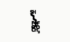 COC(=O)C(F)(F)CCCCS